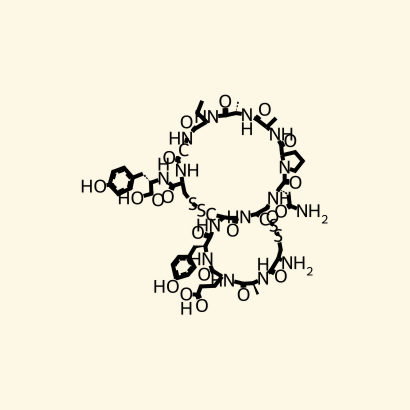 CCC1NC(=O)[C@H](C)NC(=O)C(C)NC(=O)C2CCCN2C(=O)[C@H](CC(N)=O)NC(=O)C2CSSCC(N)C(=O)N[C@@H](C)C(=O)NC(CCC(=O)O)C(=O)N[C@@H](Cc3ccc(O)cc3)C(=O)NC(CSSCC(C(=O)N[C@@H](Cc3ccc(O)cc3)C(=O)O)NC(=O)CNC1=O)C(=O)N2